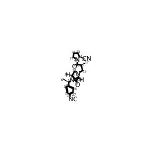 [C-]#[N+]c1ccc([C@@H](C)N2C(=O)[C@@H]3C[C@H]2CN3C[C@H](C)C(=O)N2CCC[C@H]2C#N)cc1